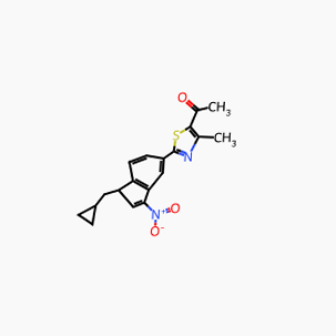 CC(=O)c1sc(-c2ccc3c(c2)C([N+](=O)[O-])=CC3CC2CC2)nc1C